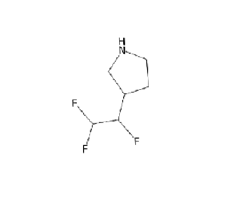 FC(F)C(F)C1CCNC1